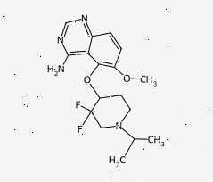 COc1ccc2ncnc(N)c2c1OC1CCN(C(C)C)CC1(F)F